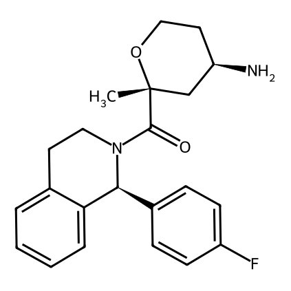 C[C@]1(C(=O)N2CCc3ccccc3[C@@H]2c2ccc(F)cc2)C[C@H](N)CCO1